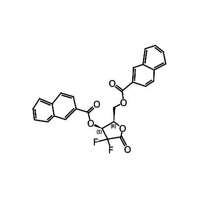 O=C(OC[C@H]1OC(=O)C(F)(F)[C@H]1OC(=O)c1ccc2ccccc2c1)c1ccc2ccccc2c1